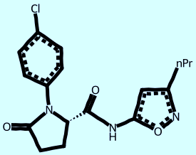 CCCc1cc(NC(=O)[C@@H]2CCC(=O)N2c2ccc(Cl)cc2)on1